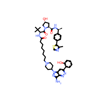 Cc1ncsc1-c1ccc([C@H](C)NC(=O)[C@@H]2C[C@@H](O)CN2C(=O)[C@@H](NC(=O)CCCCCCCN2CCC(n3nc(N)c4nnc(-c5ccccc5O)cc43)CC2)C(C)(C)C)cc1